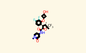 C[C@H]1[C@@H](c2ccc(F)c(F)c2O[C@H]2C[C@@H](O)C2)[C@H](C(=O)Nc2ccn(C)c(=O)c2)O[C@@]1(C)C(F)(F)F